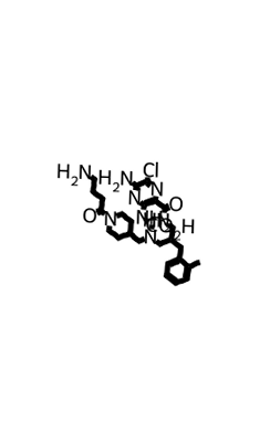 Cc1ccccc1CC(CNC(=O)c1nc(Cl)c(N)nc1N)CN(CC1CCN(C(=O)CCCN)CC1)C(=O)O